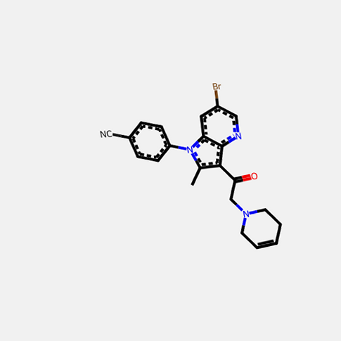 Cc1c(C(=O)CN2CC=CCC2)c2ncc(Br)cc2n1-c1ccc(C#N)cc1